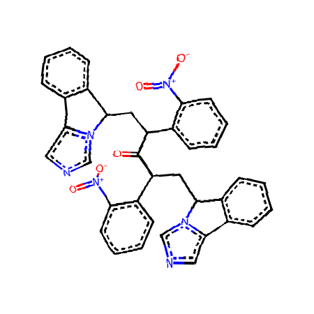 O=C(C(CC1c2ccccc2-c2cncn21)c1ccccc1[N+](=O)[O-])C(CC1c2ccccc2-c2cncn21)c1ccccc1[N+](=O)[O-]